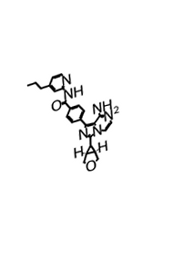 CCCc1ccnc(NC(=O)c2ccc(-c3nc(C4[C@H]5COC[C@@H]45)n4ccnc(N)c34)cc2)c1